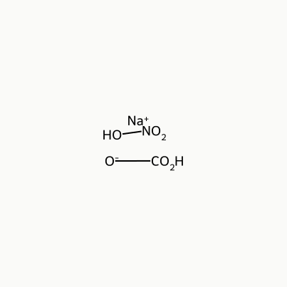 O=C([O-])O.O=[N+]([O-])O.[Na+]